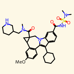 COc1ccc2c(c1)C1CC1(C(=O)N(C)CC1CCCNC1)Cn1c-2c(C2CCCCC2)c2ccc(C(=O)NS(=O)(=O)N(C)C)cc21